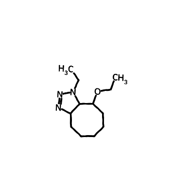 CCOC1CCCCCC2N=NN(CC)C21